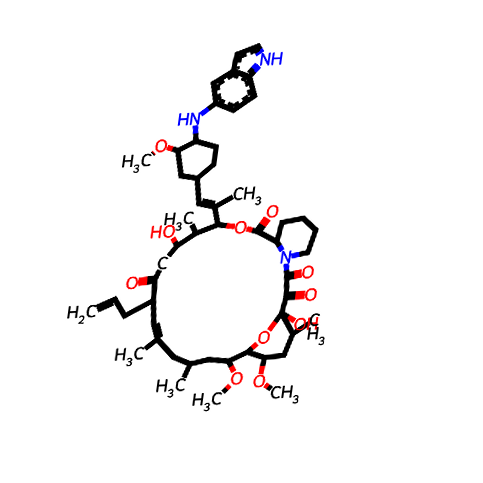 C=CCC1/C=C(\C)CC(C)CC(OC)C2OC(O)(C(=O)C(=O)N3CCCCC3C(=O)OC(C(C)=CC3CCC(Nc4ccc5[nH]ccc5c4)C(OC)C3)C(C)C(O)CC1=O)C(C)CC2OC